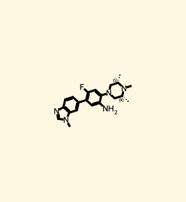 C[C@@H]1CN(c2cc(F)c(-c3ccc4ncn(C)c4c3)cc2N)C[C@H](C)N1C